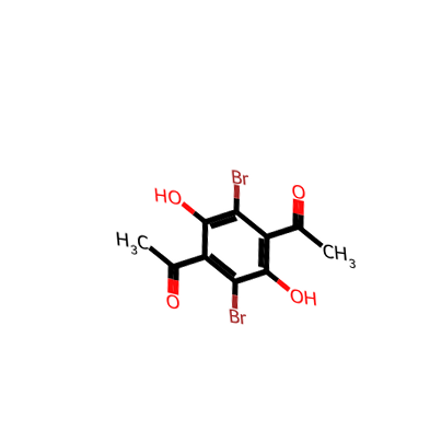 CC(=O)c1c(O)c(Br)c(C(C)=O)c(O)c1Br